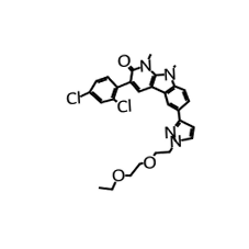 CCOCCOCCn1ccc(-c2ccc3c(c2)c2cc(-c4ccc(Cl)cc4Cl)c(=O)n(C)c2n3C)n1